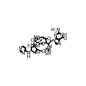 CC(C)(C)[Si](C)(C)OC1[C@H]2OP(=O)(S)OC[C@H]3C[C@@H](Nc4ccncn4)[C@H](F)[C@@H]3OP(=O)(S)OC[C@H]1O[C@H]2n1cnc2c(=O)[nH]c(N)nc21